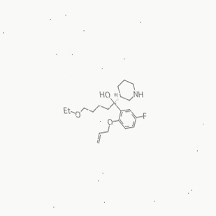 C=CCOc1ccc(F)cc1C(O)(CCCCOCC)[C@@H]1CCCNC1